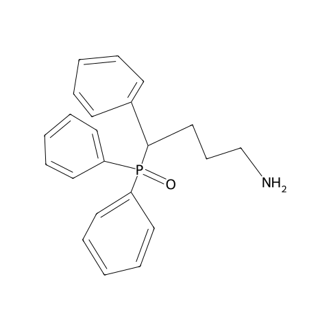 NCCCC(c1ccccc1)P(=O)(c1ccccc1)c1ccccc1